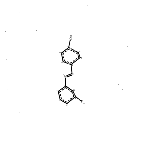 Fc1cccc(N=Cc2ccc(Cl)cc2)c1